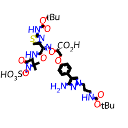 CC(C)(C)OC(=O)NCCCn1cc(-c2ccc(OCC(O/N=C(\C(=O)N[C@@H]3C(=O)N(OS(=O)(=O)O)C3(C)C)c3csc(NC(=O)OC(C)(C)C)n3)C(=O)O)cc2)c(N)n1